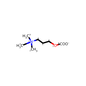 C[N+](C)(C)CCCOC(=O)[O-]